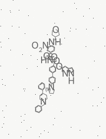 O=C(NS(=O)(=O)c1ccc(NCC2CCOCC2)c([N+](=O)[O-])c1)c1ccc(-c2ccc(N3CCC[C@@H]3c3ccccc3C3=CCN(Cc4ccccc4)CC3)cc2)cc1Oc1cnc2[nH]ccc2c1